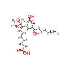 CCCCCC(O)/C=C/C1C(C(=O)O)CC2(OCCO2)C1C/C=C/CCCC(=O)O